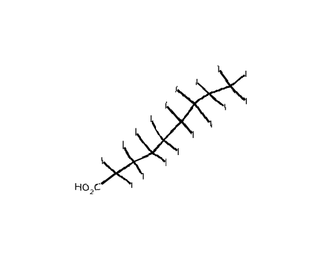 O=C(O)C(I)(I)C(I)(I)C(I)(I)C(I)(I)C(I)(I)C(I)(I)C(I)(I)C(I)(I)I